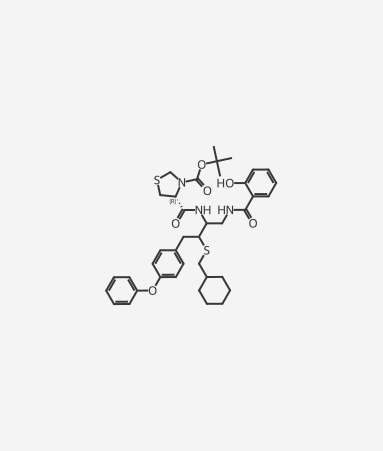 CC(C)(C)OC(=O)N1CSC[C@H]1C(=O)NC(CNC(=O)c1ccccc1O)C(Cc1ccc(Oc2ccccc2)cc1)SCC1CCCCC1